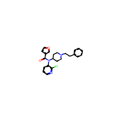 O=C(c1ccoc1)N(c1cccnc1Cl)C1CCN(CCc2ccccc2)CC1